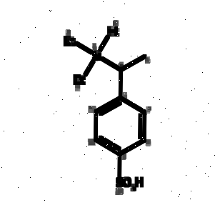 CC[Si](CC)(CC)C(C)c1ccc(S(=O)(=O)O)cc1